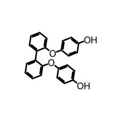 Oc1ccc(Oc2ccccc2-c2ccccc2Oc2ccc(O)cc2)cc1